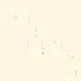 O=C(c1ccc(Br)c(Cl)c1)N1CCS(=O)(=O)[C@@](F)(c2ncc(Nc3ccccc3)s2)C1